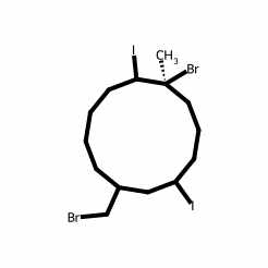 C[C@]1(Br)CCCC(I)CC(CBr)CCCCC1I